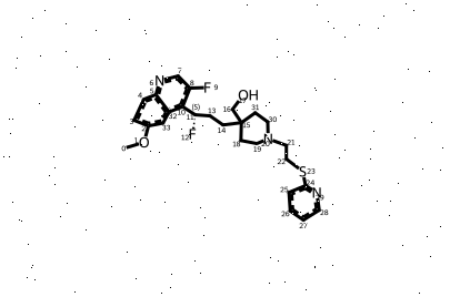 COc1ccc2ncc(F)c([C@@H](F)CCC3(CO)CCN(CCSc4ccccn4)CC3)c2c1